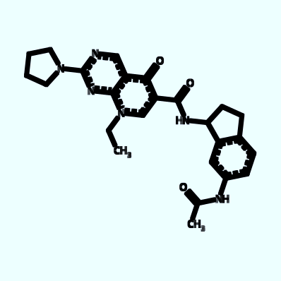 CCn1cc(C(=O)NC2CCc3ccc(NC(C)=O)cc32)c(=O)c2cnc(N3CCCC3)nc21